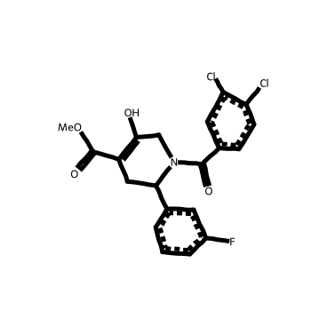 COC(=O)C1=C(O)CN(C(=O)c2ccc(Cl)c(Cl)c2)C(c2cccc(F)c2)C1